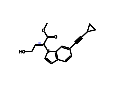 COC(=O)/C(=C/CO)n1ccc2ccc(C#CC3CC3)cc21